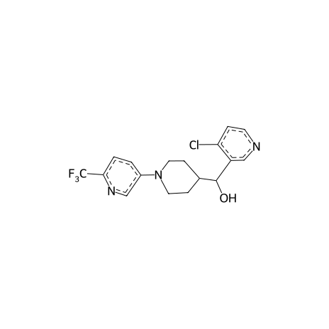 OC(c1cnccc1Cl)C1CCN(c2ccc(C(F)(F)F)nc2)CC1